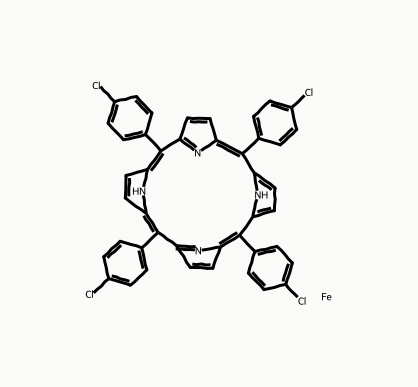 Clc1ccc(-c2c3nc(c(-c4ccc(Cl)cc4)c4ccc([nH]4)c(-c4ccc(Cl)cc4)c4nc(c(-c5ccc(Cl)cc5)c5ccc2[nH]5)C=C4)C=C3)cc1.[Fe]